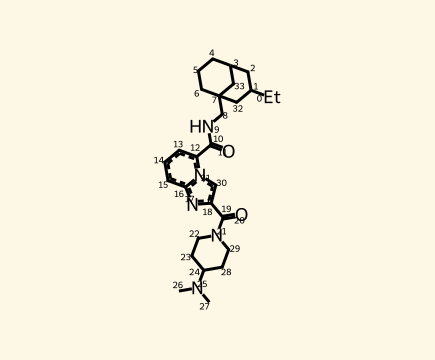 CCC1CC2CCCC(CNC(=O)c3cccc4nc(C(=O)N5CCC(N(C)C)CC5)cn34)(C1)C2